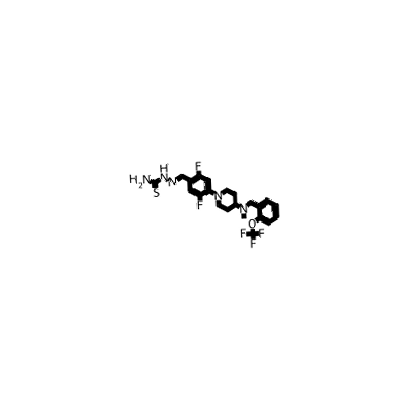 CN(Cc1ccccc1OC(F)(F)F)C1CCN(c2cc(F)c(C=NNC(N)=S)cc2F)CC1